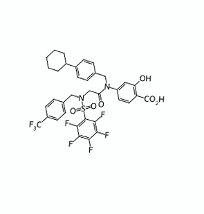 O=C(O)c1ccc(N(Cc2ccc(C3CCCCC3)cc2)C(=O)CN(Cc2ccc(C(F)(F)F)cc2)S(=O)(=O)c2c(F)c(F)c(F)c(F)c2F)cc1O